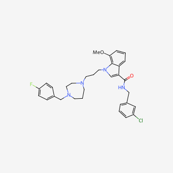 COc1cccc2c(C(=O)NCc3cccc(Cl)c3)cn(CCCN3CCCN(Cc4ccc(F)cc4)CC3)c12